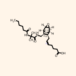 CCCCCC(=O)NC(C)(C)C(=O)NC[C@@H]1[C@H](C/C=C\CCCC(=O)O)[C@H]2O[C@@H]1[C@H]1O[C@H]12